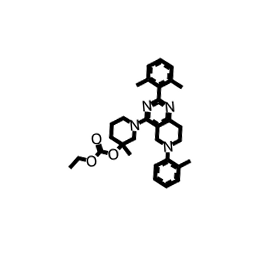 CCOC(=O)OC1(C)CCCN(c2nc(-c3c(C)cccc3C)nc3c2CN(c2ccccc2C)CC3)C1